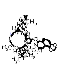 C[C@@H]1CC/C=C\[C@@H]2C[C@@]2(C(=O)NS(=O)(=O)C2(C)CC2)NC(=O)[C@@H]2C[C@@H](Oc3nccc4c5c(ccc34)OCCO5)CN2C(=O)[C@@H](N(C(=O)O)C(C)(C)C(C)(F)F)[C@H](C)O1